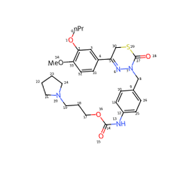 CCCOc1cc(C2=NN(Cc3ccc(NC(=O)OCCCN4CCCC4)cc3)C(=O)SC2)ccc1OC